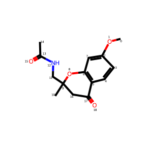 COc1ccc2c(c1)OC(C)(CNC(C)=O)CC2=O